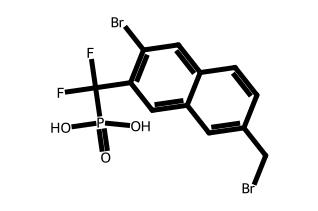 O=P(O)(O)C(F)(F)c1cc2cc(CBr)ccc2cc1Br